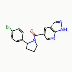 O=C(c1cnc2[nH]ncc2c1)N1CCCC1c1ccc(Br)cc1